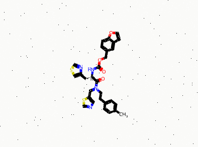 Cc1ccc(CCN(Cc2cncs2)C(=O)[C@H](Cc2cscn2)NC(=O)OCc2ccc3occc3c2)cc1